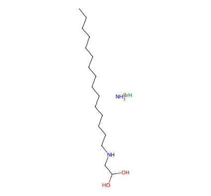 Br.CCCCCCCCCCCCCCCNCC(O)O.N